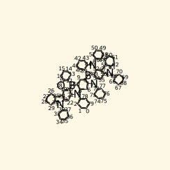 c1ccc(N2c3cc4c(cc3B3c5ccccc5Oc5c3c2cc2c5c3ccccc3n2-c2ccccc2)B2c3ccccc3N(c3ccccc3)c3c2c(cc2c3c3ccccc3n2-c2ccccc2)N4c2ccccc2)cc1